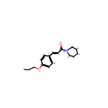 CCCOc1ccc(C=CC(=O)N2CCCCC2)cc1